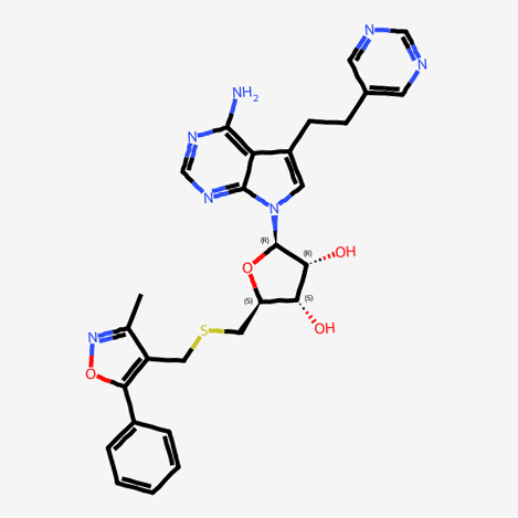 Cc1noc(-c2ccccc2)c1CSC[C@H]1O[C@@H](n2cc(CCc3cncnc3)c3c(N)ncnc32)[C@H](O)[C@@H]1O